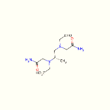 C[C@@H](CN(CC=O)CC(N)=O)N(CC(N)=O)CC(=O)O